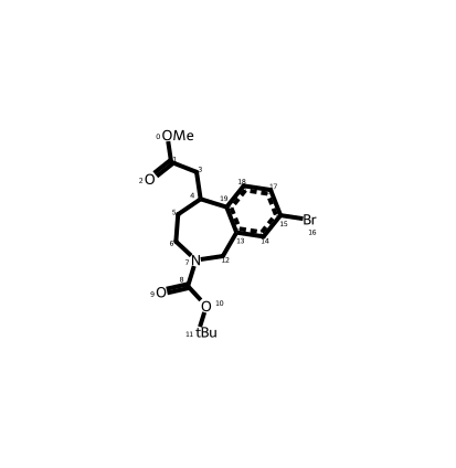 COC(=O)CC1CCN(C(=O)OC(C)(C)C)Cc2cc(Br)ccc21